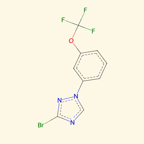 FC(F)(F)Oc1cccc(-n2cnc(Br)n2)c1